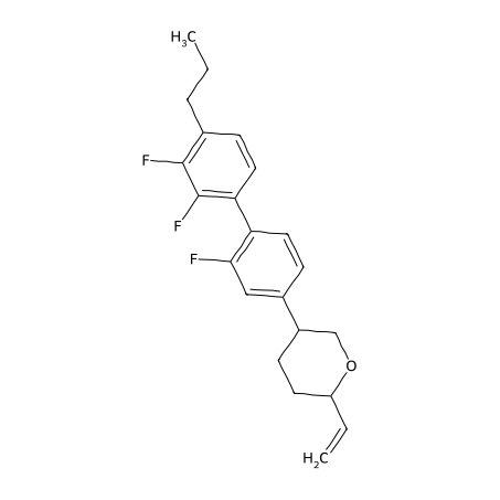 C=CC1CCC(c2ccc(-c3ccc(CCC)c(F)c3F)c(F)c2)CO1